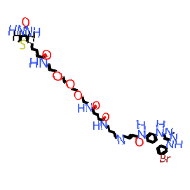 CN(C/C=C/C(=O)Nc1cccc(Nc2cc(Nc3cccc(Br)c3)ncn2)c1)CCCCNC(=O)CCCC(=O)NCCCOCCOCCOCCCNC(=O)CCCC[C@@H]1SC[C@@H]2NC(=O)N[C@@H]21